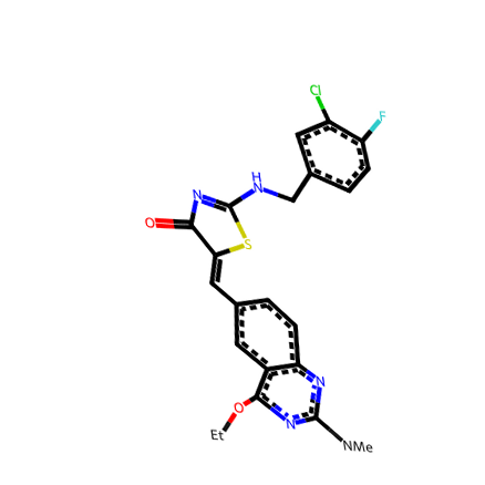 CCOc1nc(NC)nc2ccc(/C=C3\SC(NCc4ccc(F)c(Cl)c4)=NC3=O)cc12